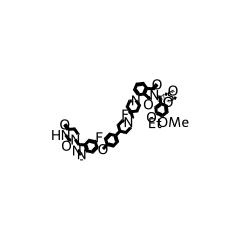 CCOc1cc([C@@H](CS(C)(=O)=O)N2C(=O)c3cccc(N4CCC(F)(CN5CCC(c6ccc(Oc7cc8c(cc7F)c(N7CCC(=O)NC7=O)nn8C)cc6)CC5)CC4)c3C2=O)ccc1OC